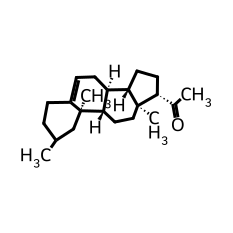 CC(=O)[C@H]1CC[C@H]2[C@@H]3CC=C4CCC(C)C[C@]4(C)[C@H]3CC[C@]12C